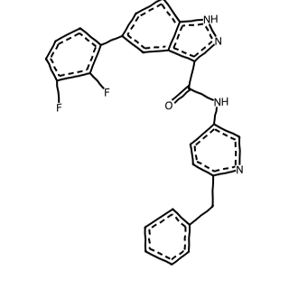 O=C(Nc1ccc(Cc2ccccc2)nc1)c1n[nH]c2ccc(-c3cccc(F)c3F)cc12